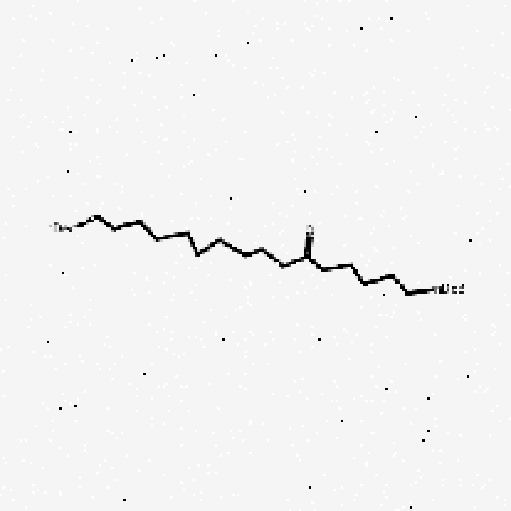 CCCCCCCCCCCCCCCCCCCCC(=O)CCCCCCCCCCCCCCC